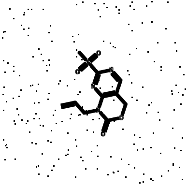 C=CCN1C(=O)OCc2cnc(S(C)(=O)=O)nc21